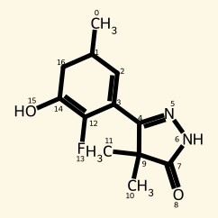 CC1C=C(C2=NNC(=O)C2(C)C)C(F)=C(O)C1